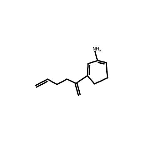 C=CCCC(=C)C1=CC(N)=CCC1